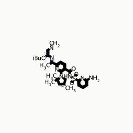 C=N/C=C(\N=C(/C)c1ccc(C(=O)NS(=O)(=O)c2cccc(N)n2)c(N2C[C@@H](C)CC2(C)C)n1)OCC(C)C